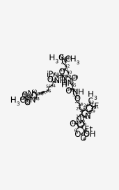 CC[C@@]1(O)C(=O)OCc2c1cc1n(c2=O)Cc2c-1nc1cc(F)c(C)cc1c2/C=C/COCNC(=O)CNC(=O)[C@H](CCCCN(C)C)NC(=O)[C@@H](NC(=O)CCCC#Cc1cnc(S(C)(=O)=O)nc1)C(C)C